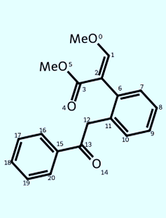 COC=C(C(=O)OC)c1ccccc1CC(=O)c1ccccc1